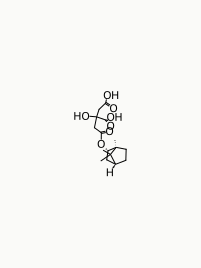 CC1(C)[C@@H]2CC[C@]1(C)[C@@H](OC(=O)CC(O)(CC(=O)O)C(=O)O)C2